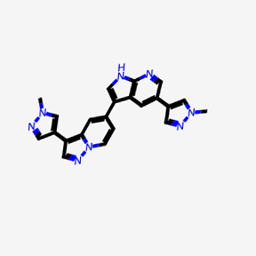 Cn1cc(-c2cnc3[nH]cc(-c4ccn5ncc(-c6cnn(C)c6)c5c4)c3c2)cn1